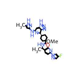 CO[C@]1(C(=O)N[C@@H](C)c2ccc(-n3cc(F)cn3)nc2)CC[C@H](C2N=C(Nc3cc(C)[nH]n3)C=C3NN=NC32)CC1